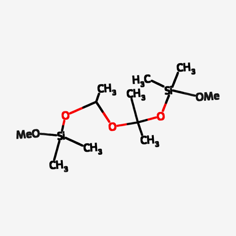 CO[Si](C)(C)OC(C)OC(C)(C)O[Si](C)(C)OC